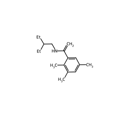 C=C(NCC(CC)CC)c1cc(C)cc(C)c1C